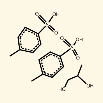 CC(O)CO.Cc1ccc(S(=O)(=O)O)cc1.Cc1ccc(S(=O)(=O)O)cc1